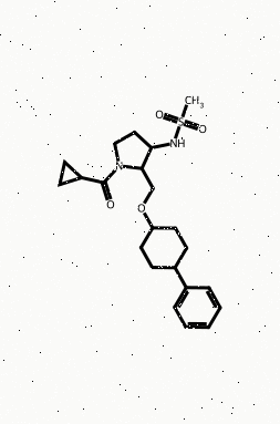 CS(=O)(=O)NC1CCN(C(=O)C2CC2)C1COC1CCC(c2ccccc2)CC1